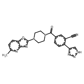 Cc1ccc2oc(N3CCN(C(=O)c4ccc(-c5c[nH]nn5)c(C#N)c4)CC3)nc2n1